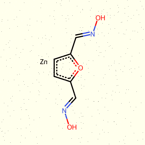 ON=Cc1ccc(C=NO)o1.[Zn]